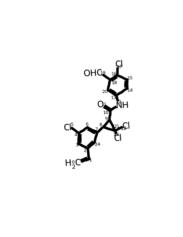 C=Cc1cc(Cl)cc(C2C(C(=O)Nc3ccc(Cl)c(C=O)c3)C2(Cl)Cl)c1